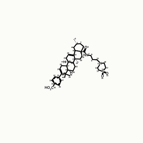 C[C@@H]1CC[C@]2(C(=O)NCCCN3CCS(=O)(=O)CC3)CC[C@]3(C)C(=CC[C@@H]4C5CC=C(c6ccc(C(=O)O)cc6)C(C)(C)[C@@H]5CCC43)C2C1